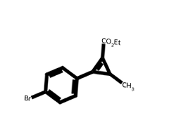 CCOC(=O)C1=C(c2ccc(Br)cc2)C1C